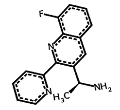 C[C@H](N)c1cc2cccc(F)c2nc1-c1ccccn1